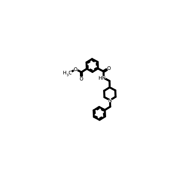 COC(=O)c1cccc(C(=O)NCC2CCN(Cc3ccccc3)CC2)c1